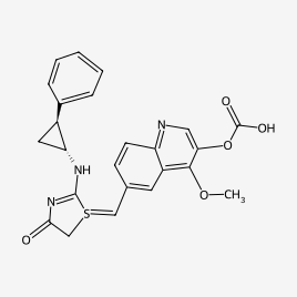 COc1c(OC(=O)O)cnc2ccc(/C=S3/CC(=O)N=C3N[C@@H]3C[C@H]3c3ccccc3)cc12